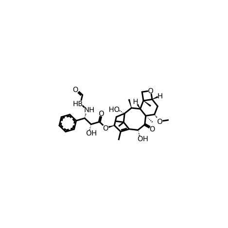 CO[C@H]1C[C@H]2OC[C@@]2(C)[C@H]2[C@H](C)[C@]3(O)C[C@H](OC(=O)[C@H](O)[C@@H](NBC=O)c4ccccc4)C(C)=C([C@@H](O)C(=O)[C@]12C)C3(C)C